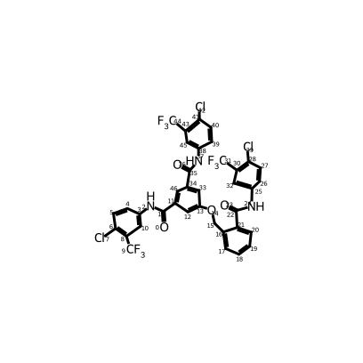 O=C(Nc1ccc(Cl)c(C(F)(F)F)c1)c1cc(OCc2ccccc2C(=O)Nc2ccc(Cl)c(C(F)(F)F)c2)cc(C(=O)Nc2ccc(Cl)c(C(F)(F)F)c2)c1